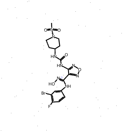 CS(=O)(=O)N1CCC(NC(=O)Nc2nonc2/C(=N/O)Nc2ccc(F)c(Br)c2)CC1